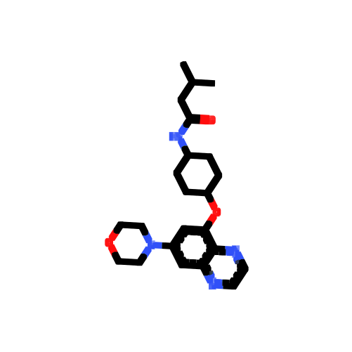 CC(C)CC(=O)NC1CCC(Oc2cc(N3CCOCC3)cc3nccnc23)CC1